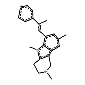 C/C(=C\c1cc(C)cc2c3c(n(C)c12)CCN(C)C3)c1ccncc1